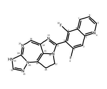 Fc1cc2ncccc2c(F)c1-c1nc2c3n1CCC=3N1N=CNC1=NC=2